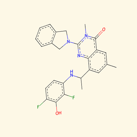 Cc1cc(C(C)Nc2ccc(F)c(O)c2F)c2nc(N3Cc4ccccc4C3)n(C)c(=O)c2c1